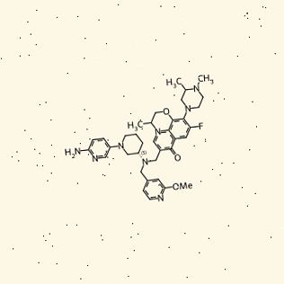 COc1cc(CN(Cc2cn3c4c(c(N5CCN(C)C(C)C5)c(F)cc4c2=O)OCC3C)[C@H]2CCCN(c3ccc(N)nc3)C2)ccn1